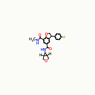 CNC(=O)c1cc(C(=O)N[C@H]2[C@@H]3COC[C@@H]32)cc2c1OCC2c1ccc(F)cc1